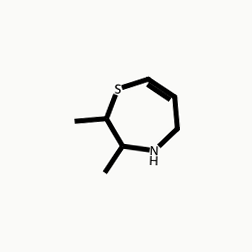 CC1NCC=CSC1C